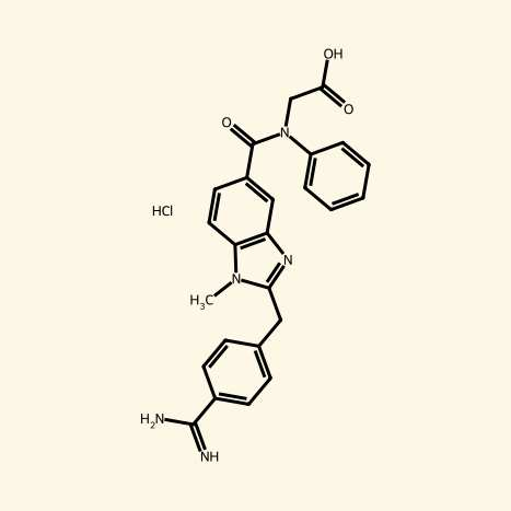 Cl.Cn1c(Cc2ccc(C(=N)N)cc2)nc2cc(C(=O)N(CC(=O)O)c3ccccc3)ccc21